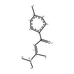 C/C(=C\C(=O)c1ccc(C)cc1)N(C)C